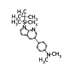 CN(C)c1ccc(-c2cnc3c(ccn3[Si](C)(C)C(C)(C)C)c2)cc1